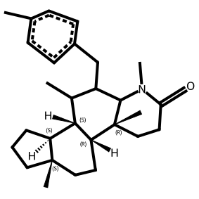 Cc1ccc(CC2C(C)[C@@H]3[C@@H](CC[C@]4(C)CCC[C@@H]34)[C@@]3(C)CCC(=O)N(C)C23)cc1